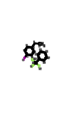 CCc1ccc(I)cc1.FC(F)(F)c1ccccc1